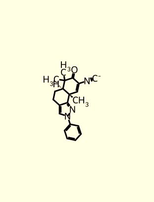 [C-]#[N+]C1=C[C@]2(C)c3nn(-c4ccccc4)cc3CC[C@H]2C(C)(C)C1=O